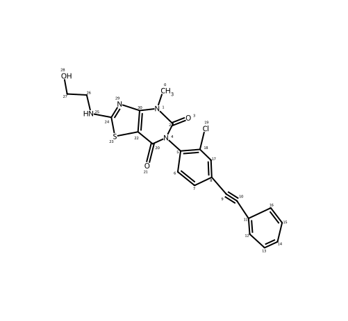 Cn1c(=O)n(-c2ccc(C#Cc3ccccc3)cc2Cl)c(=O)c2sc(NCCO)nc21